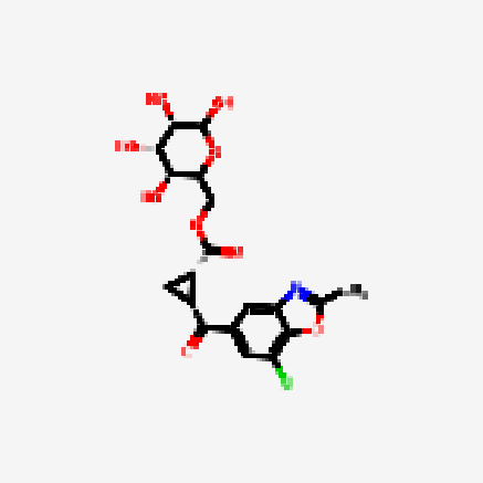 Cc1nc2cc(C(=O)[C@H]3C[C@@H]3C(=O)OCC3OC(O)[C@H](O)[C@@H](O)[C@@H]3O)cc(Cl)c2o1